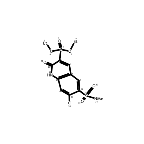 CCOP(=O)(OCC)c1cc2cc(S(=O)(=O)NC)c(Cl)cc2[nH]c1=O